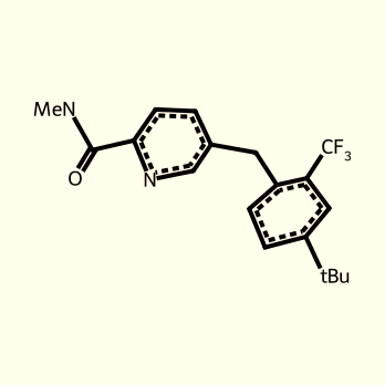 CNC(=O)c1ccc(Cc2ccc(C(C)(C)C)cc2C(F)(F)F)cn1